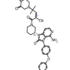 CN1CCN(C(C)(C)/C=C(/C#N)C(=O)N2CCC[C@@H](n3c(=O)n(-c4ccc(Oc5ccccc5)cc4)c4c(N)nccc43)C2)CC1=O